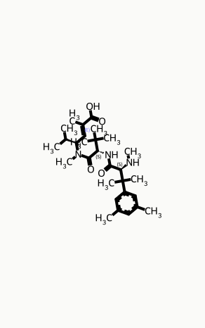 CN[C@H](C(=O)N[C@H](C(=O)N(C)[C@H](/C=C(\C)C(=O)O)C(C)C)C(C)(C)C)C(C)(C)c1cc(C)cc(C)c1